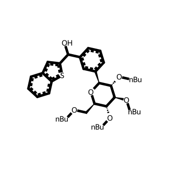 CCCCOC[C@H]1O[C@@H](c2cccc(C(O)c3cc4ccccc4s3)c2)[C@H](OCCCC)[C@@H](OCCCC)[C@@H]1OCCCC